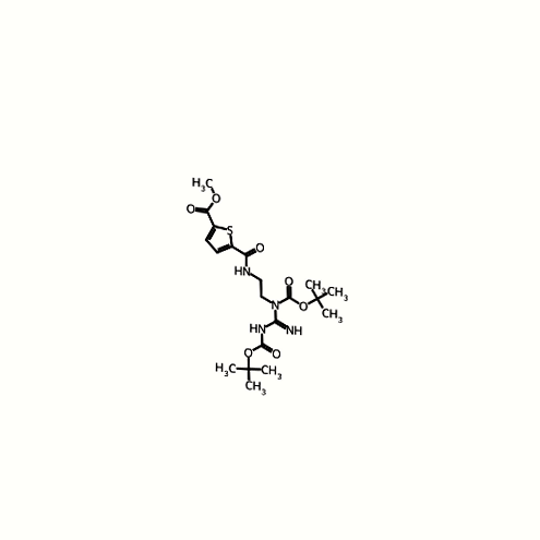 COC(=O)c1ccc(C(=O)NCCN(C(=N)NC(=O)OC(C)(C)C)C(=O)OC(C)(C)C)s1